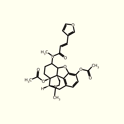 CC(=O)Oc1ccc2c3c1OC1C(N(C)C(=O)/C=C/c4ccoc4)CC[C@@]4(OC(C)=O)[C@@H](C2)N(C)CC[C@]314